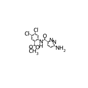 COC(=O)c1cc(Cl)c(Cl)cc1NC(=O)c1ccc(N)nn1